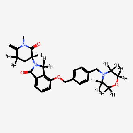 [2H]C1([2H])C[C@@]([2H])(N2C(=O)c3cccc(OCc4ccc(CN5C([2H])([2H])C([2H])([2H])OC([2H])([2H])C5([2H])[2H])cc4)c3C2([2H])[2H])C(=O)N(C)C1=C